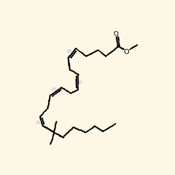 CCCCCCC(C)(C)/C=C\C/C=C\C/C=C\C/C=C\CCCC(=O)OC